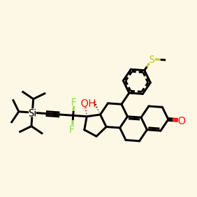 CSc1ccc(C2C[C@@]3(C)C(CC[C@@]3(O)C(F)(F)C#C[Si](C(C)C)(C(C)C)C(C)C)C3CCC4=CC(=O)CCC4=C23)cc1